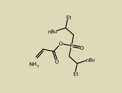 C=CC(=O)OP(=O)(CC(CC)CCCC)CC(CC)CCCC.N